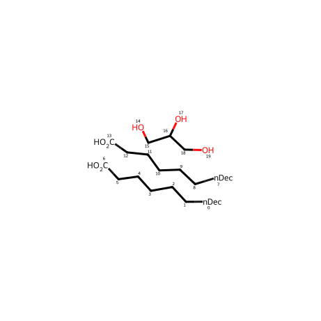 CCCCCCCCCCCCCCCC(=O)O.CCCCCCCCCCCCCCCC(=O)O.OCC(O)CO